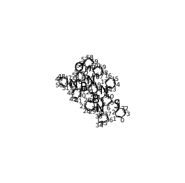 c1ccc(Sc2cc3c4c(c2)N(c2ccccc2)c2cc5c(cc2B4c2ccccc2N3c2ccccc2)B2c3ccccc3N(c3ccccc3)c3cc4oc6ccccc6c4c(c32)N5c2ccccc2)cc1